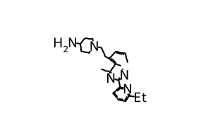 C\C=C/C(CCN1CCC(N)CC1)=C(C)/C(C)=N\C(=N/C)c1cccc(CC)n1